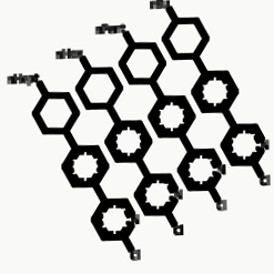 CCCCC1CCC(c2ccc(-c3ccc(Cl)nc3)cc2)CC1.CCCCCC1CCC(c2ccc(-c3ccc(Cl)nc3)cc2)CC1.CCCCCCC1CCC(c2ccc(-c3ccc(Cl)nc3)cc2)CC1.CCCCCCCC1CCC(c2ccc(-c3ccc(Cl)nc3)cc2)CC1